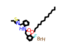 Br.CCCCCCCCCCCCCCOc1c(F)cccc1CC(=O)Nc1ccccc1CN1C=C(C)SC1